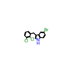 Clc1cccc(Cc2c[nH]c3ccc(Br)cc23)c1Cl